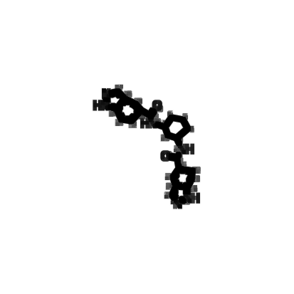 O=C(NC1CCCC(NC(=O)c2ccc3[nH]ncc3c2)C1)c1ccc2[nH]ncc2c1